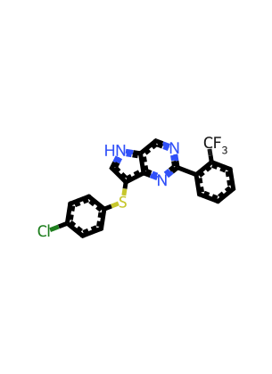 FC(F)(F)c1ccccc1-c1ncc2[nH]cc(Sc3ccc(Cl)cc3)c2n1